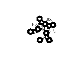 CC(C)(C)c1c2c(c(N(c3ccc4c(c3)sc3ccccc34)c3ccc4c5ccccc5n(-c5ccccc5)c4c3)c3c1-c1ccccc1C3(C)C)C(C)(C)c1ccccc1-2